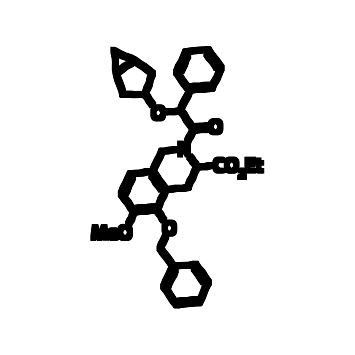 CCOC(=O)C1Cc2c(ccc(OC)c2OCc2ccccc2)CN1C(=O)C(OC1CC2CC2C1)c1ccccc1